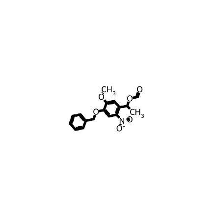 COc1cc(C(C)O[C]=O)c([N+](=O)[O-])cc1OCc1ccccc1